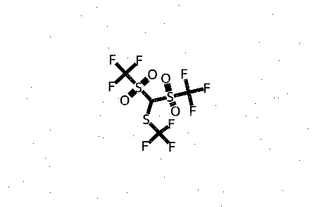 O=S(=O)(C(SC(F)(F)F)S(=O)(=O)C(F)(F)F)C(F)(F)F